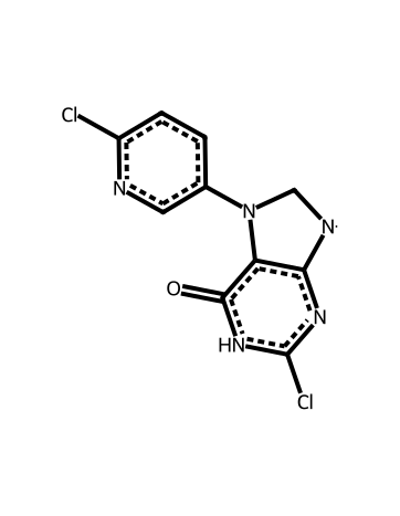 O=c1[nH]c(Cl)nc2c1N(c1ccc(Cl)nc1)C[N]2